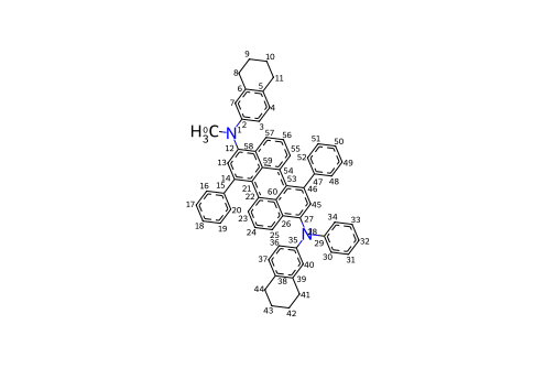 CN(c1ccc2c(c1)CCCC2)c1cc(-c2ccccc2)c2c3cccc4c(N(c5ccccc5)c5ccc6c(c5)CCCC6)cc(-c5ccccc5)c(c5cccc1c52)c43